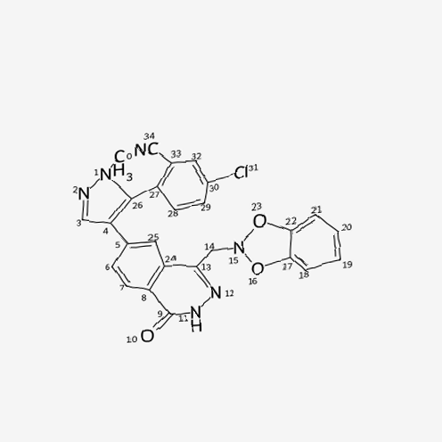 Cn1ncc(-c2ccc3c(=O)[nH]nc(CN4Oc5ccccc5O4)c3c2)c1-c1ccc(Cl)cc1C#N